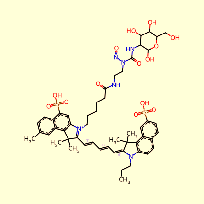 CCCN1/C(=C/C=C/C=C/C2=[N+](CCCCCC(=O)NCCN(N=O)C(=O)NC3C(O)OC(CO)C(O)C3O)c3cc(S(=O)(=O)O)c4ccc(C)cc4c3C2(C)C)C(C)(C)c2c1ccc1ccc(S(=O)(=O)O)cc21